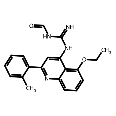 CCOc1cccc2nc(-c3ccccc3C)cc(NC(=N)NC=O)c12